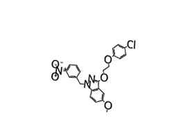 COc1ccc2c(c1)c(OCCOc1ccc(Cl)cc1)nn2Cc1cccc([N+](=O)[O-])c1